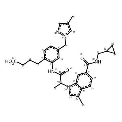 Cc1cnn(Cc2ccc(CCCC(=O)O)c(NC(=O)C(C)n3cc(C)c4ccc(C(=O)NCC5CC5)cc43)c2)c1